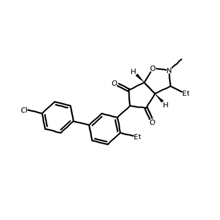 CCc1ccc(-c2ccc(Cl)cc2)cc1C1C(=O)[C@@H]2ON(C)C(CC)[C@@H]2C1=O